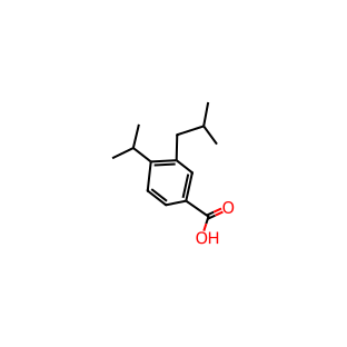 CC(C)Cc1cc(C(=O)O)ccc1C(C)C